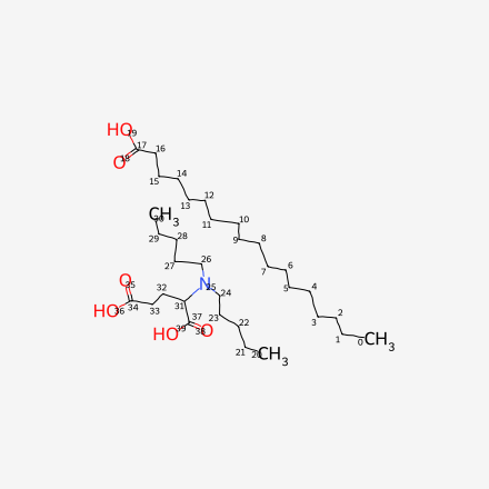 CCCCCCCCCCCCCCCCCC(=O)O.CCCCCN(CCCCC)C(CCC(=O)O)C(=O)O